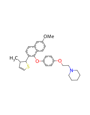 COc1ccc2c(Oc3ccc(OCCN4CCCCC4)cc3)c(C3SC=CC3C)ccc2c1